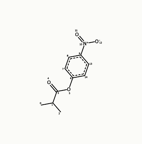 CC(C)C(=O)Oc1ccc([N+](=O)[O-])cc1